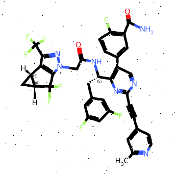 Cc1cc(C#Cc2ncc(-c3ccc(F)c(C(N)=O)c3)c([C@H](Cc3cc(F)cc(F)c3)NC(=O)Cn3nc(C(F)(F)F)c4c3C(F)(F)[C@@H]3C[C@H]43)n2)ccn1